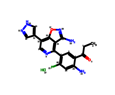 CCC(=O)c1cc(-c2ncc(-c3cn[nH]c3)c3onc(N)c23)c(F)cc1N.Cl